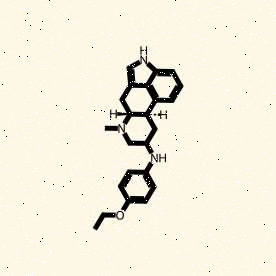 CCOc1ccc(NC2C[C@@H]3c4cccc5[nH]cc(c45)C[C@H]3N(C)C2)cc1